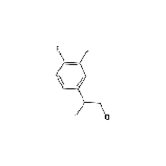 [CH2]C(CCl)c1ccc(F)c(C)c1